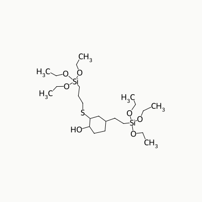 CCO[Si](CCCSC1CC(CC[Si](OCC)(OCC)OCC)CCC1O)(OCC)OCC